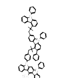 CC(C)(C)c1c2c3ccccc3n(-c3ccccc3)c2cc2c1c1ccccc1n2-c1ccc(CC(C)(C)c2c(-c3ccccc3)ccc3c2c2ccc(CC(C)(C)c4cccc5c4c4ccccc4n5-c4ccccc4)cc2n3-c2ccccc2)cc1